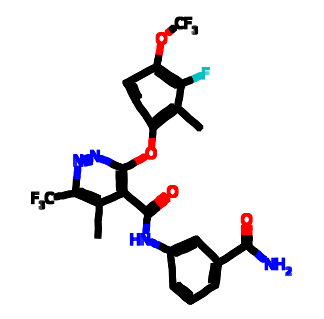 Cc1c(Oc2nnc(C(F)(F)F)c(C)c2C(=O)Nc2cccc(C(N)=O)c2)ccc(OC(F)(F)F)c1F